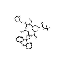 CCN(C(=O)OC[C@H]1CCCO1)[C@@H]1C[C@H](C(=O)NCC2(CCCCOC)c3ccccc3Oc3ccccc32)CN(C(=O)OC(C)(C)C)C1